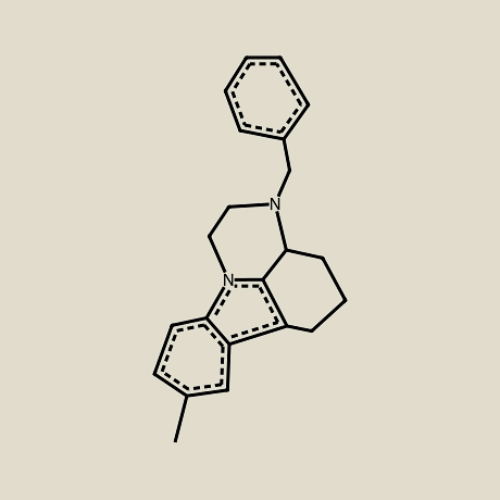 Cc1ccc2c(c1)c1c3n2CCN(Cc2ccccc2)C3CCC1